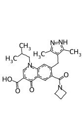 Cc1n[nH]c(C)c1Cc1cc2c(cc1C(=O)N1CCC1)c(=O)c(C(=O)O)cn2CC(C)C